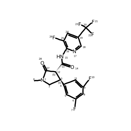 CN1C[C@H](c2cc(F)cc(F)c2)[C@@H](C(=O)Nc2ncc(C(F)(F)F)cc2F)C1=O